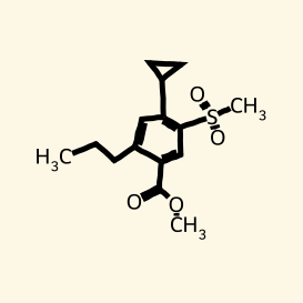 CCCc1cc(C2CC2)c(S(C)(=O)=O)cc1C(=O)OC